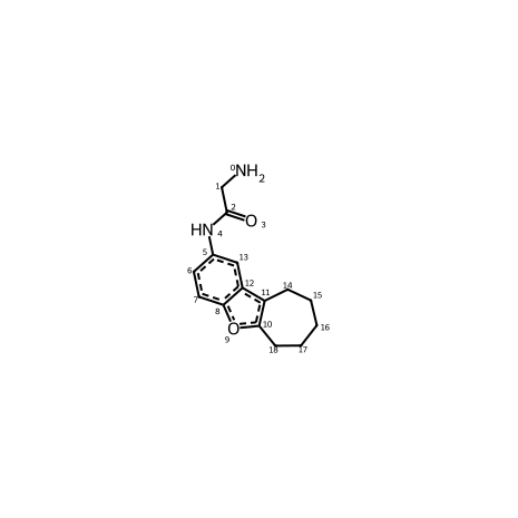 NCC(=O)Nc1ccc2oc3c(c2c1)CCCCC3